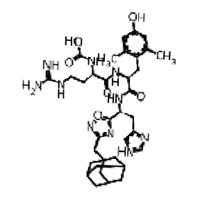 Cc1cc(O)cc(C)c1C[C@H](NC(=O)[C@@H](CCNC(=N)N)NC(=O)O)C(=O)N[C@@H](Cc1c[nH]cn1)c1nc(CC23CC4CC(CC(C4)C2)C3)no1